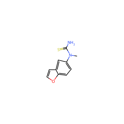 CN(C(N)=S)c1ccc2occc2c1